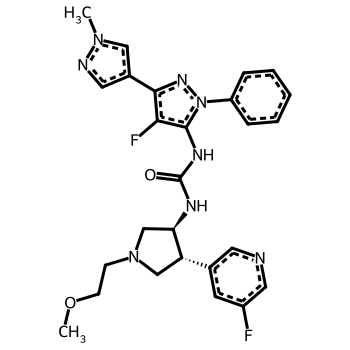 COCCN1C[C@@H](NC(=O)Nc2c(F)c(-c3cnn(C)c3)nn2-c2ccccc2)[C@H](c2cncc(F)c2)C1